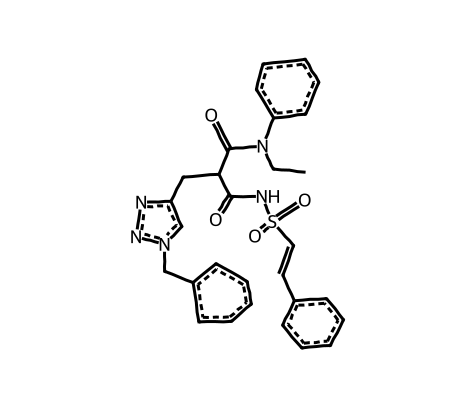 CCN(C(=O)C(Cc1cn(Cc2ccccc2)nn1)C(=O)NS(=O)(=O)C=Cc1ccccc1)c1ccccc1